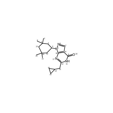 CC1(C)CC(n2ncc3c(=O)[nH]c(CC4CC4)nc32)CC(C)(C)C1